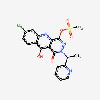 C[C@@H](c1ccccn1)n1nc(OS(C)(=O)=O)c2nc3cc(Cl)ccc3c(O)c2c1=O